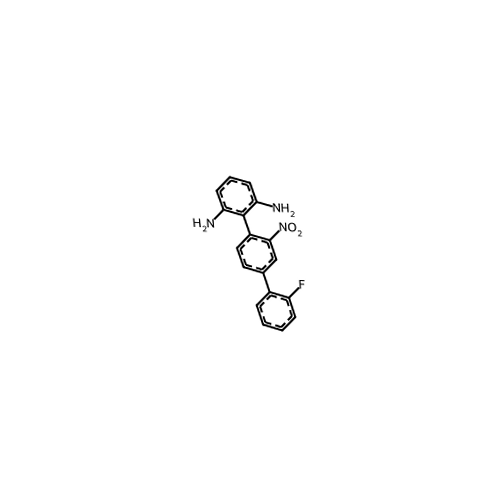 Nc1cccc(N)c1-c1ccc(-c2ccccc2F)cc1[N+](=O)[O-]